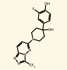 Oc1ccc(C2(O)CCN(c3ccc4nnc(C(F)(F)F)n4n3)CC2)cc1F